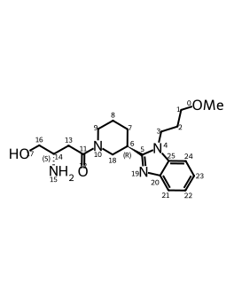 COCCCn1c([C@@H]2CCCN(C(=O)C[C@H](N)CO)C2)nc2ccccc21